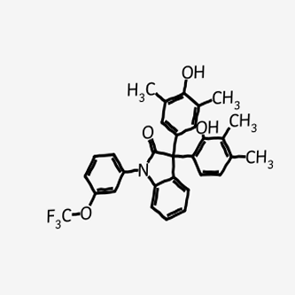 Cc1ccc(C2(c3cc(C)c(O)c(C)c3)C(=O)N(c3cccc(OC(F)(F)F)c3)c3ccccc32)c(O)c1C